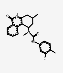 CC1Cc2[nH]c(=O)c3ccccc3c2C(N(C)C(=O)Nc2ccc(F)c(Cl)c2)C1